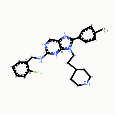 Cc1ccc(-c2nc3cnc(NCc4ccccc4F)nc3n2CCC2CCNCC2)cc1